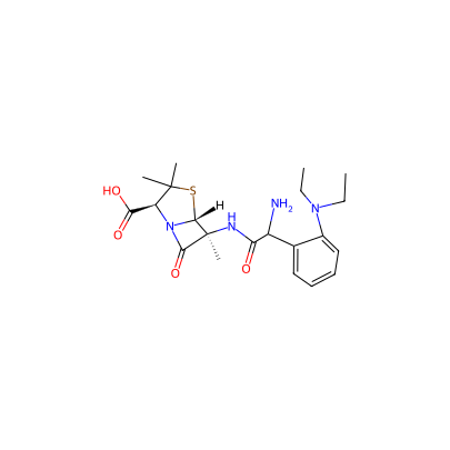 CCN(CC)c1ccccc1C(N)C(=O)N[C@@]1(C)C(=O)N2[C@@H](C(=O)O)C(C)(C)S[C@@H]21